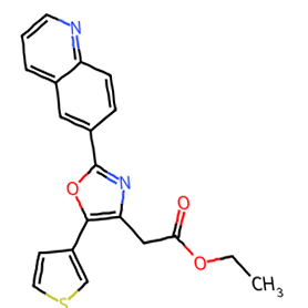 CCOC(=O)Cc1nc(-c2ccc3ncccc3c2)oc1-c1ccsc1